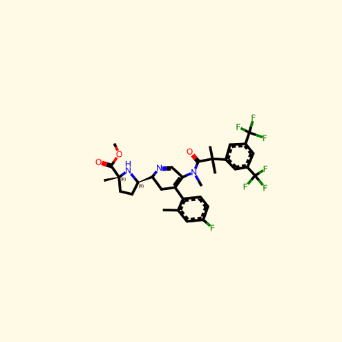 COC(=O)[C@@]1(C)CC[C@H](C2CC(c3ccc(F)cc3C)=C(N(C)C(=O)C(C)(C)c3cc(C(F)(F)F)cc(C(F)(F)F)c3)C=N2)N1